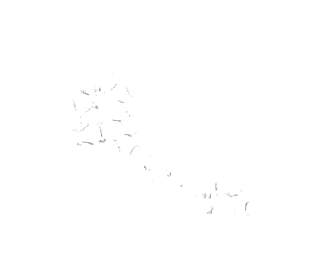 Cc1ccc(NC(=O)c2ccc(CN3CCN(CCCCN4C(=O)c5ccccc5C4=O)CC3)cc2)cc1Nc1nccc(-c2cccnc2)n1